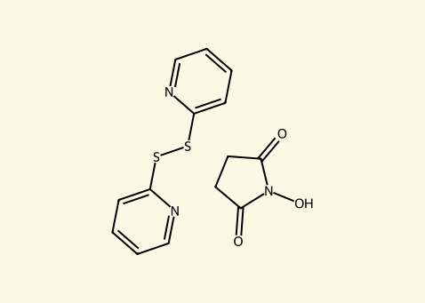 O=C1CCC(=O)N1O.c1ccc(SSc2ccccn2)nc1